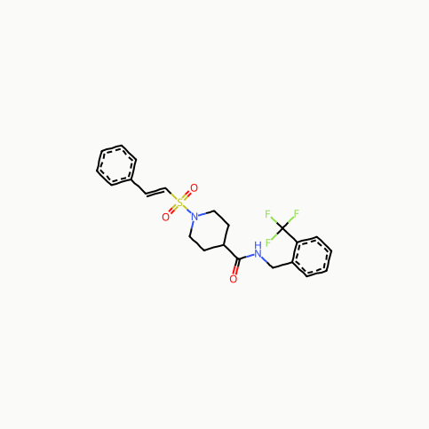 O=C(NCc1ccccc1C(F)(F)F)C1CCN(S(=O)(=O)/C=C/c2ccccc2)CC1